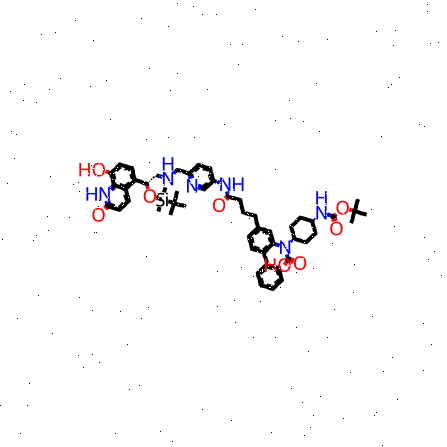 CC(C)(C)OC(=O)N[C@H]1CC[C@H](N(C(=O)O)c2cc(CCCC(=O)Nc3ccc(CNC[C@H](O[Si](C)(C)C(C)(C)C)c4ccc(O)c5[nH]c(=O)ccc45)nc3)ccc2-c2ccccc2)CC1